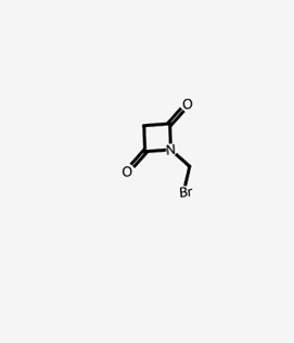 O=C1CC(=O)N1CBr